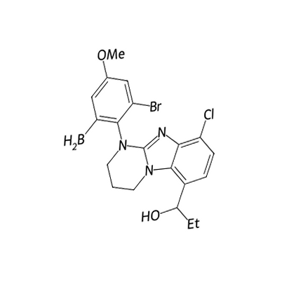 Bc1cc(OC)cc(Br)c1N1CCCn2c1nc1c(Cl)ccc(C(O)CC)c12